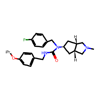 CC(C)Oc1ccc(CNC(=O)N(Cc2ccc(F)cc2)[C@H]2C[C@@H]3CN(C)C[C@@H]3C2)cc1